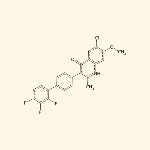 COc1cc2[nH]c(C)c(-c3ccc(-c4ccc(F)c(F)c4F)cc3)c(=O)c2cc1Cl